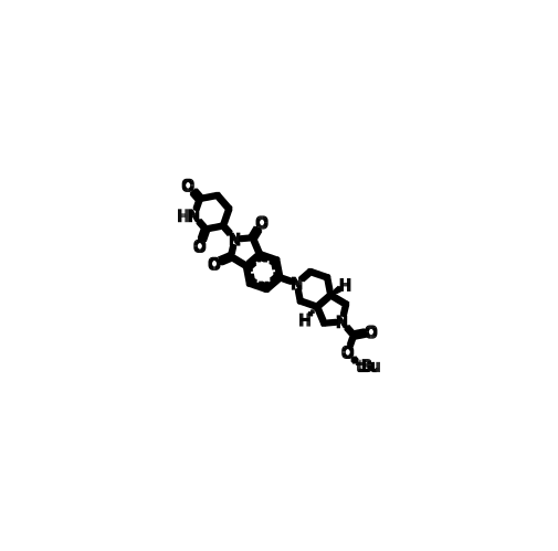 CC(C)(C)OC(=O)N1C[C@H]2CCN(c3ccc4c(c3)C(=O)N(C3CCC(=O)NC3=O)C4=O)C[C@@H]2C1